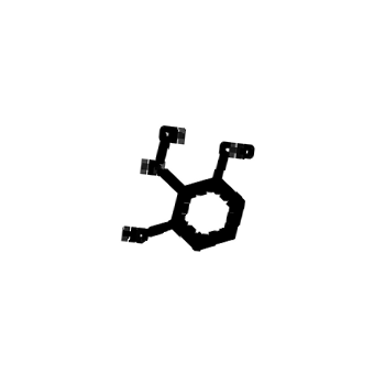 O=Cc1cccc(O)c1NO